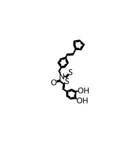 O=C1C(=Cc2ccc(O)c(O)c2)SC(=S)N1Cc1ccc(C=Cc2ccccc2)cc1